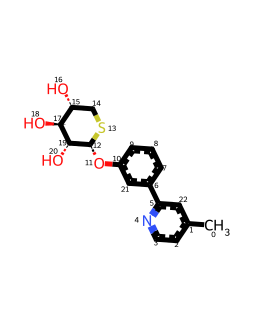 Cc1ccnc(-c2cccc(O[C@H]3SC[C@@H](O)[C@H](O)[C@H]3O)c2)c1